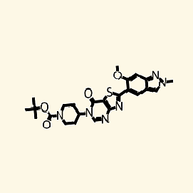 COc1cc2nn(C)cc2cc1-c1nc2ncn(C3CCN(C(=O)OC(C)(C)C)CC3)c(=O)c2s1